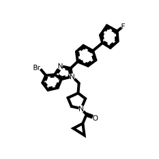 O=C(C1CC1)N1CCC(Cn2c(-c3ccc(-c4ccc(F)cc4)cc3)nc3c(Br)cccc32)C1